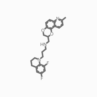 Cc1ccc2c3c(ccc2n1)OCC(CNCCCN1CCCc2cc(F)cc(F)c21)O3